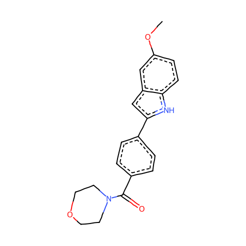 COc1ccc2[nH]c(-c3ccc(C(=O)N4CCOCC4)cc3)cc2c1